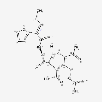 CO/N=C(/C(=O)N[C@@H]1C(=O)N2C(C(=O)O)=C(COC(N)=O)C(C(C)=O)S[C@H]12)c1ccco1